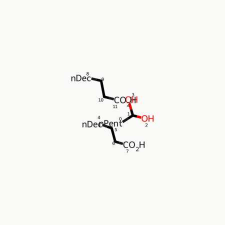 CCCCCC(O)O.CCCCCCCCCCCCC(=O)O.CCCCCCCCCCCCC(=O)O